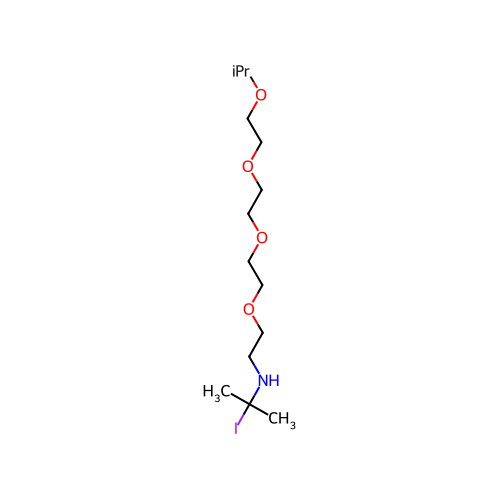 CC(C)OCCOCCOCCOCCNC(C)(C)I